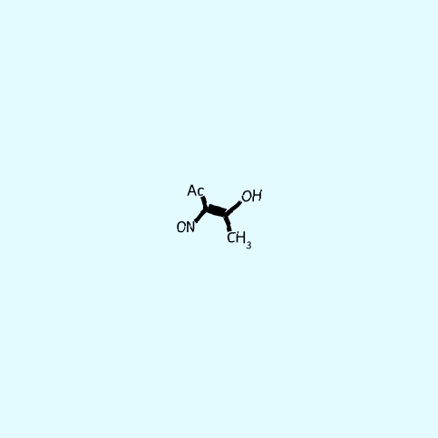 CC(=O)C(N=O)=C(C)O